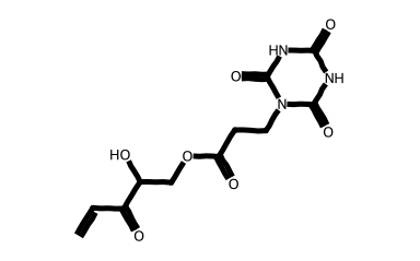 C=CC(=O)C(O)COC(=O)CCn1c(=O)[nH]c(=O)[nH]c1=O